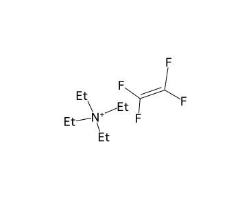 CC[N+](CC)(CC)CC.FC(F)=C(F)F